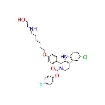 O=C(Oc1ccc(F)cc1)N1CCc2c([nH]c3c2CC(Cl)C=C3)C1c1ccc(OCCCCCCNCCO)cc1